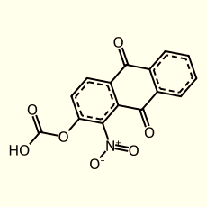 O=C(O)Oc1ccc2c(c1[N+](=O)[O-])C(=O)c1ccccc1C2=O